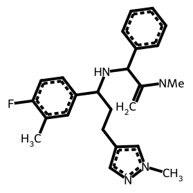 C=C(NC)C(NC(CCc1cnn(C)c1)c1ccc(F)c(C)c1)c1ccccc1